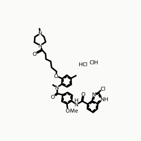 COc1cc(C(=O)N(C)c2ccc(C)cc2OCCCCCC(=O)N2CCN(C)CC2)ccc1NC(=O)c1cccc2[nH]c(Cl)nc12.Cl.Cl